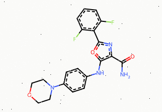 NC(=O)c1nc(-c2c(F)cccc2F)oc1Nc1ccc(N2CCOCC2)cc1